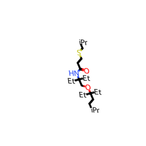 CCC(CC)(COC(CC)(CC)CCC(C)C)NC(=O)CCSCC(C)C